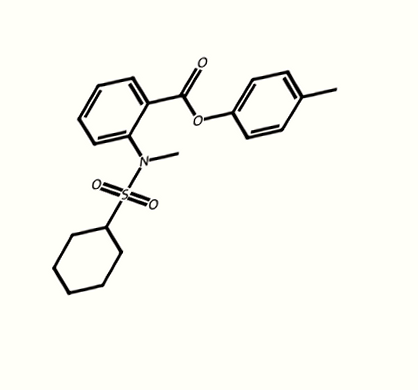 Cc1ccc(OC(=O)c2ccccc2N(C)S(=O)(=O)C2CCCCC2)cc1